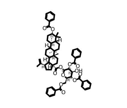 C=C(C)[C@@H]1CC[C@]2(C(=O)O[C@@H]3O[C@H](COC(=O)c4ccccc4)[C@@H](OC(=O)c4ccccc4)[C@H](O)[C@H]3OC(=O)c3ccccc3)CC[C@]3(C)[C@H](CC[C@@H]4[C@@]5(C)CC[C@H](OC(=O)c6ccccc6)C(C)(C)[C@@H]5CC[C@]43C)[C@@H]12